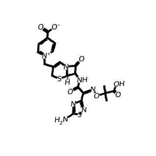 CC(C)(ON=C(C(=O)NC1C(=O)N2C=C(C[n+]3ccc(C(=O)[O-])cc3)CS[C@H]12)c1nsc(N)n1)C(=O)O